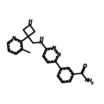 Cc1cccnc1C1(CNc2ccc(-c3cccc(C(N)=O)c3)nn2)CNC1